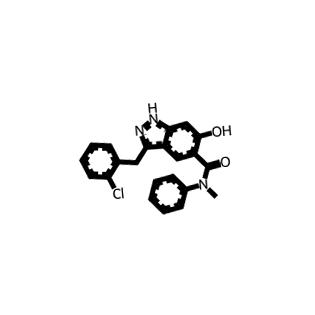 CN(C(=O)c1cc2c(Cc3ccccc3Cl)n[nH]c2cc1O)c1ccccc1